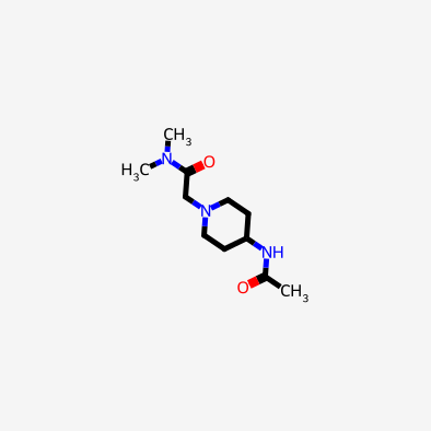 CC(=O)NC1CCN(CC(=O)N(C)C)CC1